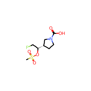 CS(=O)(=O)OC(CF)[C@H]1CCN(C(=O)O)C1